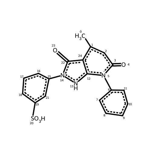 Cc1cc(=O)n(-c2ccccc2)c2[nH]n(-c3cccc(S(=O)(=O)O)c3)c(=O)c12